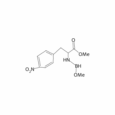 COBNC(Cc1ccc([N+](=O)[O-])cc1)C(=O)OC